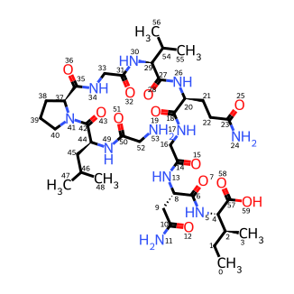 CC[C@H](C)[C@H](NC(=O)[C@H](CC(N)=O)NC(=O)CNC(=O)[C@H](CCC(N)=O)NC(=O)[C@@H](NC(=O)CNC(=O)[C@@H]1CCCN1C(=O)[C@H](CC(C)C)NC(=O)CN)C(C)C)C(=O)O